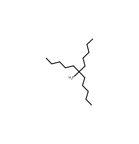 CCCCCC(P)(CCCCC)CCCCC